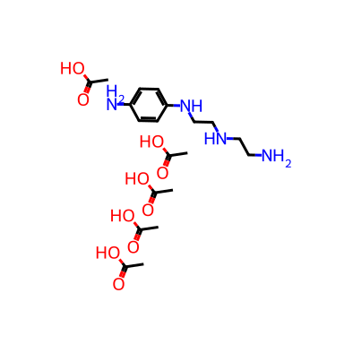 CC(=O)O.CC(=O)O.CC(=O)O.CC(=O)O.CC(=O)O.NCCNCCNc1ccc(N)cc1